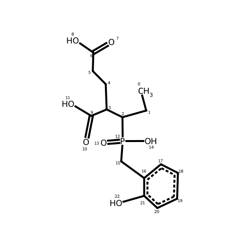 CCC(C(CCC(=O)O)C(=O)O)P(=O)(O)Cc1ccccc1O